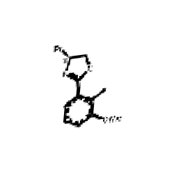 COc1cccc(C2=N[C@@H](C(C)C)CO2)c1C